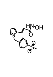 CS(=O)(=O)c1ccc(Cn2cccc2/C=C/C(=O)NO)cc1